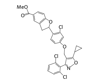 COC(=O)c1ccc2c(c1)CC(c1ccc(OCc3c(-c4c(Cl)cccc4Cl)noc3C3CC3)cc1Cl)O2